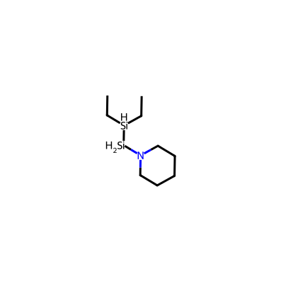 CC[SiH](CC)[SiH2]N1CCCCC1